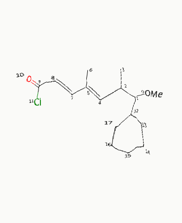 COC(C(C)/C=C(C)/C=C/C(=O)Cl)C1CCCCC1